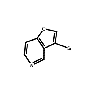 Brc1coc2ccncc12